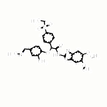 CCS(=O)(=O)c1ccc(C(Oc2ccc(/C=N/C)cc2C)C(=O)Nc2nc3cc(OC)c(OC)cc3s2)cc1